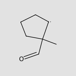 CC1(C=O)[CH]CCC1